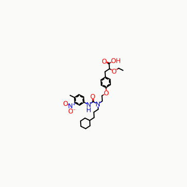 CCOC(Cc1ccc(OCCN(CCCC2CCCCC2)C(=O)Nc2ccc(C)c([N+](=O)[O-])c2)cc1)C(=O)O